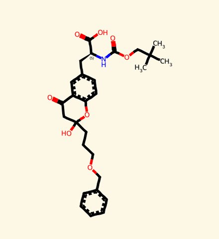 CC(C)(C)COC(=O)N[C@@H](Cc1ccc2c(c1)C(=O)CC(O)(CCCOCc1ccccc1)O2)C(=O)O